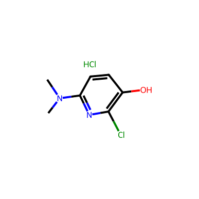 CN(C)c1ccc(O)c(Cl)n1.Cl